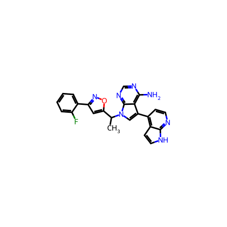 CC(c1cc(-c2ccccc2F)no1)n1cc(-c2ccnc3[nH]ccc23)c2c(N)ncnc21